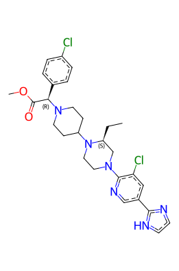 CC[C@H]1CN(c2ncc(-c3ncc[nH]3)cc2Cl)CCN1C1CCN([C@@H](C(=O)OC)c2ccc(Cl)cc2)CC1